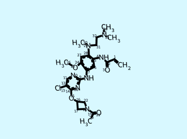 C=CC(=O)Nc1cc(Nc2ncc(Cl)c(OC3CN(C(C)=O)C3)n2)c(OC)cc1N(C)CCN(C)C